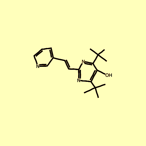 CC(C)(C)c1nc(C=Cc2cccnc2)nc(C(C)(C)C)c1O